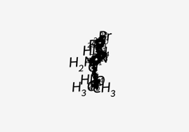 CN(C)C(=O)NCCCOc1cc2ncnc(Nc3ccc(Br)cc3F)c2cc1N